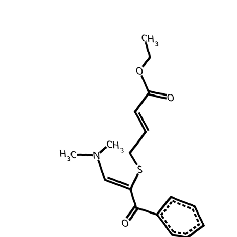 CCOC(=O)C=CCSC(=CN(C)C)C(=O)c1ccccc1